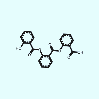 O=C(Oc1ccccc1C(=O)Oc1ccccc1C(=O)O)c1ccccc1O